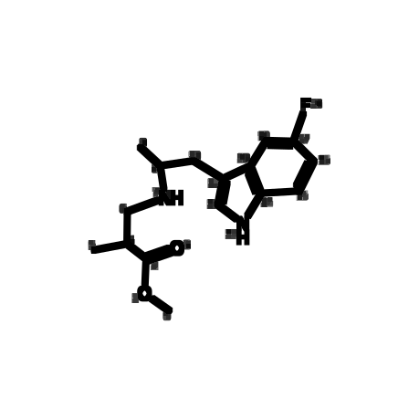 COC(=O)C(C)CNC(C)Cc1c[nH]c2ccc(F)cc12